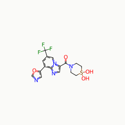 O=C(c1cnc2c(-c3cnco3)cc(C(F)(F)F)cn12)N1CCS(O)(O)CC1